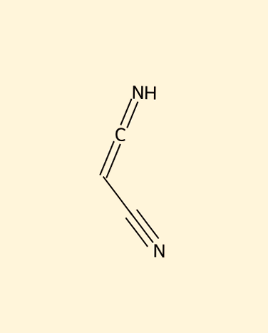 N#CC=C=N